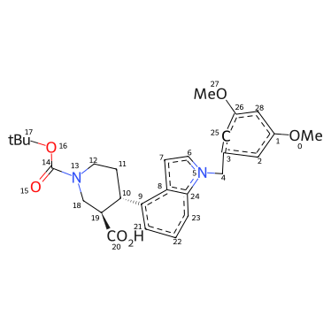 COc1cc(Cn2ccc3c([C@H]4CCN(C(=O)OC(C)(C)C)C[C@@H]4C(=O)O)cccc32)cc(OC)c1